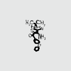 CC(C)CNc1sc(C(=O)c2ccc(Oc3ccccc3)cc2)c(N)c1C#N